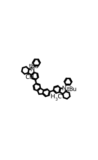 CC(C)(C)C12CCCCC1(C)c1cc(-c3ccc4c(c3)-c3cc(-c5ccc6c(c5)C5(C)CCCCC5(C(C)(C)C)N6c5ccccc5)ccc3C4)ccc1N2c1ccccc1